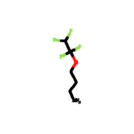 FC(F)C(F)(F)OCCC[SiH3]